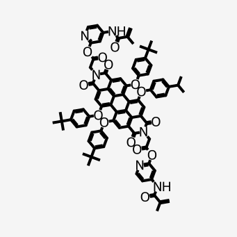 C=C(C)C(=O)Nc1ccnc(OC(=O)CN2C(=O)c3cc(Oc4ccc(C(C)C)cc4)c4c5c(Oc6ccc(C(C)(C)C)cc6)cc6c7c(cc(Oc8ccc(C(C)(C)C)cc8)c(c8c(Oc9ccc(C(C)(C)C)cc9)cc(c3c48)C2=O)c75)C(=O)N(CC(=O)Oc2cc(NC(=O)C(=C)C)ccn2)C6=O)c1